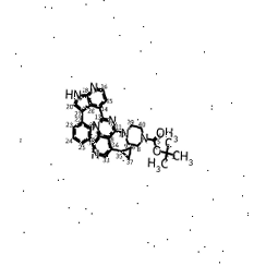 CC(C)(C)OC(=O)N1CCN(c2nc(-c3ccnc4[nH]cc(-c5ccccc5)c34)nc3cncc(C4CC4)c23)CC1